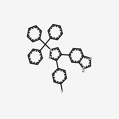 Fc1ccc(-c2nn(C(c3ccccc3)(c3ccccc3)c3ccccc3)cc2-c2ccc3nc[nH]c3c2)cc1